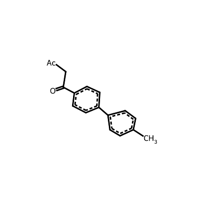 CC(=O)CC(=O)c1ccc(-c2ccc(C)cc2)cc1